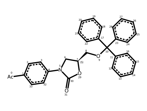 CC(=O)c1ccc(N2C[C@@H](COC(c3ccccc3)(c3ccccc3)c3ccccc3)OC2=O)cc1